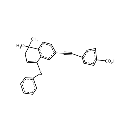 CC1(C)CC=C(Sc2ccccc2)c2cc(C#Cc3ccc(C(=O)O)cc3)ccc21